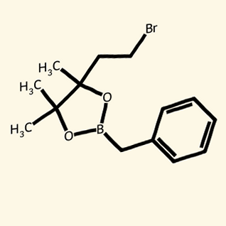 CC1(C)OB(Cc2ccccc2)OC1(C)CCBr